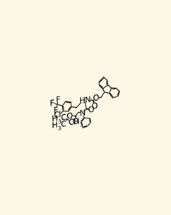 CC(C)(C)OC(=O)CN(C(=O)[C@H](CCc1ccc(C(F)(F)F)c(Cl)c1)NC(=O)OCC1c2ccccc2-c2ccccc21)c1ccccc1